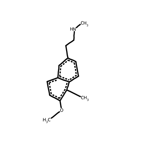 CNCCc1ccc2c(C)c(OC)ccc2c1